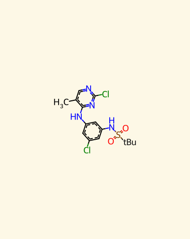 Cc1cnc(Cl)nc1Nc1cc(Cl)cc(NS(=O)(=O)C(C)(C)C)c1